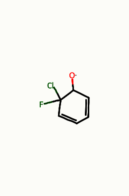 [O]C1C=CC=CC1(F)Cl